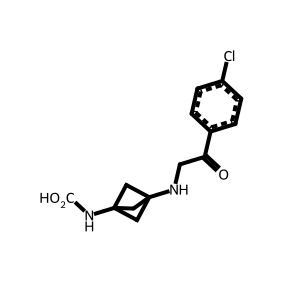 O=C(O)NC12CC(NCC(=O)c3ccc(Cl)cc3)(C1)C2